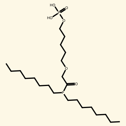 CCCCCCCCP(CCCCCCCC)C(=O)COCCCCCOP(=O)(O)O